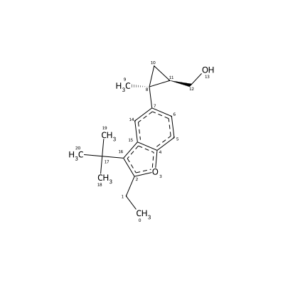 CCc1oc2ccc([C@@]3(C)C[C@H]3CO)cc2c1C(C)(C)C